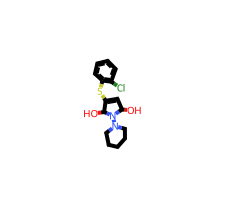 OC1C=C(Sc2ccccc2Cl)C(O)N1N1CCCCC1